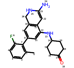 Cc1cccc(F)c1-c1cc2c(c(NC3CCC(=O)CC3)c1)C=C(N)NC2